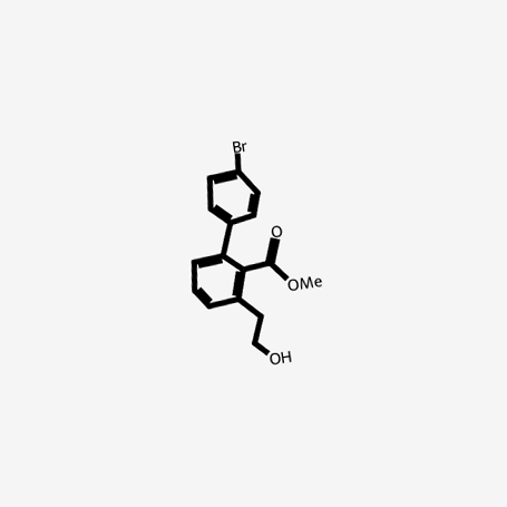 COC(=O)c1c(CCO)cccc1-c1ccc(Br)cc1